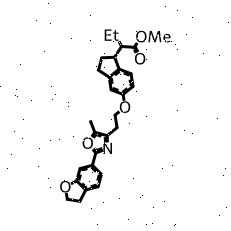 CCC(C(=O)OC)C1CCc2cc(OCCc3nc(-c4ccc5c(c4)OCC5)oc3C)ccc21